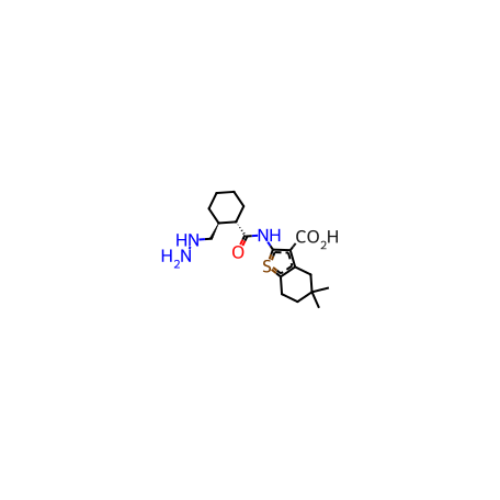 CC1(C)CCc2sc(NC(=O)[C@H]3CCCC[C@@H]3CNN)c(C(=O)O)c2C1